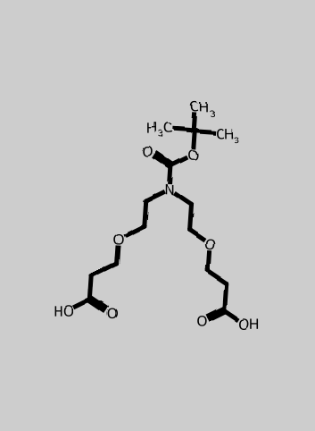 CC(C)(C)OC(=O)N(CCOCCC(=O)O)CCOCCC(=O)O